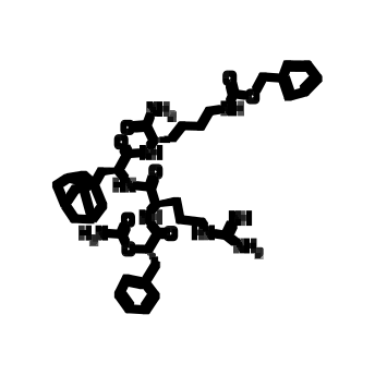 N=C(N)NCCC[C@@H](NC(=O)[C@H](Cc1ccccc1)OC(N)=O)C(=O)N[C@@H](CC12CC3CC(CC(C3)C1)C2)C(=O)N[C@@H](CCCCNC(=O)OCc1ccccc1)C(N)=O